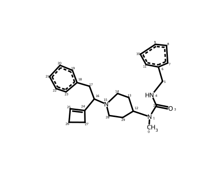 CN(C(=O)NCc1ccccc1)C1CCN(C(Cc2ccccc2)C2=CCC2)CC1